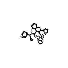 CN1CCC[C@H]1COCc1c(-c2cccs2)nc2ccccc2c1C(=O)N[C@H](c1cccc(F)c1)C1CC1